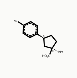 CCC[C@@]1(C(=O)O)CC[C@H](c2ccc(C#N)cc2)C1